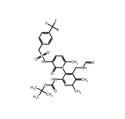 C=C1C(CNC=O)=C(n2c(C)ccc(NS(=O)(=O)Cc3ccc(C(F)(F)F)cc3)c2=O)C(NC(=O)OC(C)(C)C)=NC1C